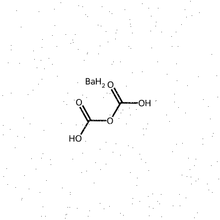 O=C(O)OC(=O)O.[BaH2]